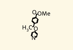 COC(=O)c1ccc(C(C)Oc2ccncc2)cc1